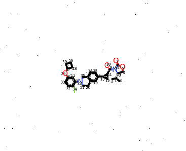 CC(C)[C@H]1COC(=O)N1C(=O)C1CC1c1ccc2c(c1)CCN(c1cc(OC3CCC3)ccc1F)C2